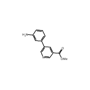 COC(=O)c1cncc(-c2cccc(N)c2)c1